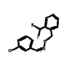 FC(F)c1ccccc1CO/N=[C]\c1cccc(Cl)c1